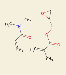 C=C(C)C(=O)OC[C@H]1CO1.C=CC(=O)N(C)C